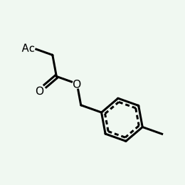 CC(=O)CC(=O)OCc1ccc(C)cc1